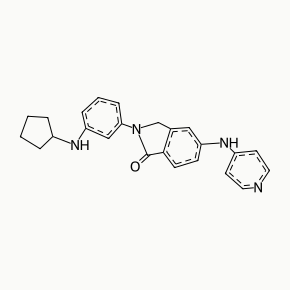 O=C1c2ccc(Nc3ccncc3)cc2CN1c1cccc(NC2CCCC2)c1